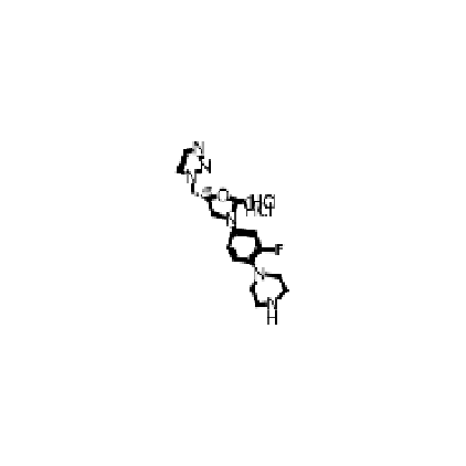 Cl.Cl.O=C1O[C@@H](Cn2ccnn2)CN1c1ccc(N2CCNCC2)c(F)c1